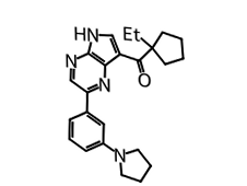 CCC1(C(=O)c2c[nH]c3ncc(-c4cccc(N5CCCC5)c4)nc23)CCCC1